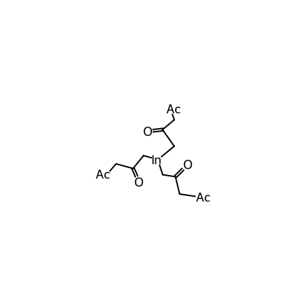 CC(=O)CC(=O)[CH2][In]([CH2]C(=O)CC(C)=O)[CH2]C(=O)CC(C)=O